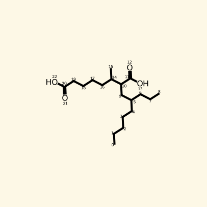 CCCCCC(CCC)CC(C(=O)O)C(C)CCCCC(=O)O